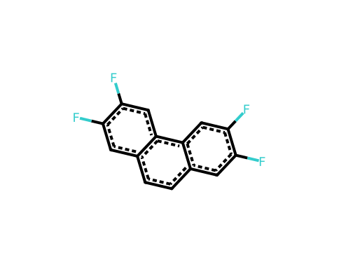 Fc1cc2ccc3cc(F)c(F)cc3c2cc1F